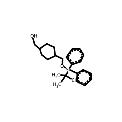 CC(C)(C)[Si](OCC1CCC(CO)CC1)(c1ccccc1)c1ccccc1